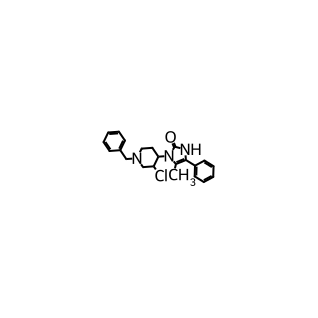 Cc1c(-c2ccccc2)[nH]c(=O)n1C1CCN(Cc2ccccc2)CC1Cl